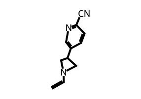 C=CN1CC(c2ccc(C#N)nc2)C1